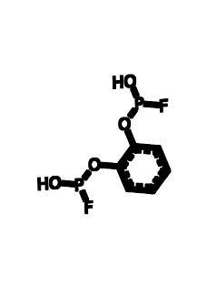 OP(F)Oc1ccccc1OP(O)F